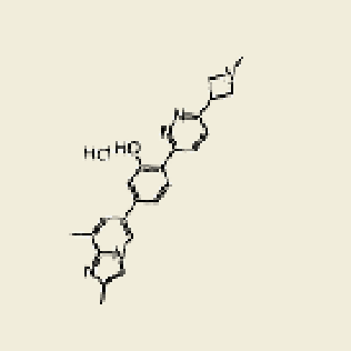 Cc1cn2cc(-c3ccc(-c4ccc(C5CN(C)C5)nn4)c(O)c3)cc(C)c2n1.Cl